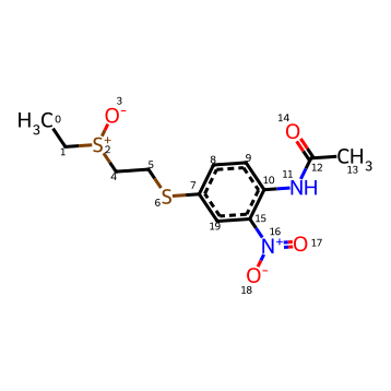 CC[S+]([O-])CCSc1ccc(NC(C)=O)c([N+](=O)[O-])c1